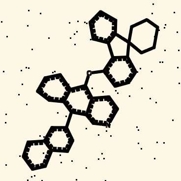 c1ccc2c(c1)-c1c(Oc3c4ccccc4c(-c4ccc5ccccc5c4)c4cnccc34)cccc1C21CCCCC1